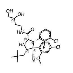 COc1cc(Cl)ccc1[C@@]1(C#N)[C@H](CC(C)(C)C)N[C@H](C(=O)NCC[C@H](O)CO)[C@@H]1c1cccc(Cl)c1F